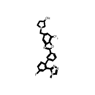 Cn1cnnc1-c1cc(F)ccc1-c1cccc(-c2nc3cc(CN4CCC(O)C4)cc(C(F)(F)F)c3o2)c1